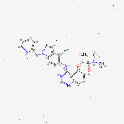 C[C@@H](Oc1cccc2ncnc(Nc3ccc4c(ccn4Cc4ccccn4)c3F)c12)C(=O)N(C)C